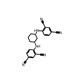 N#Cc1ccc(N[C@@H]2CCC[C@H](Nc3ccc(C#N)cc3C#N)C2)c(C#N)c1